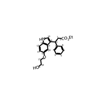 CCOC(=O)CC(c1ccccc1)c1c[nH]c2ccc(OCCO)cc12